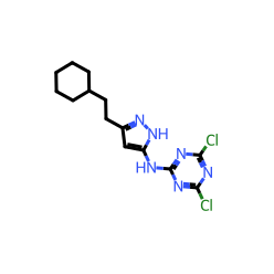 Clc1nc(Cl)nc(Nc2cc(CCC3CCCCC3)n[nH]2)n1